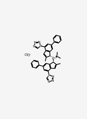 CC1=Cc2c(cc(-c3ccccc3)cc2-n2cnnn2)[C@@H]1[Zr+2]([C@H]1C(C)=Cc2c1cc(-c1ccccc1)cc2-n1cnnn1)=[Si](C)C.[Cl-].[Cl-]